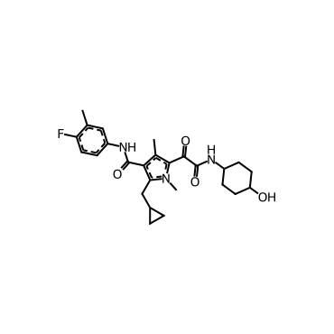 Cc1cc(NC(=O)c2c(C)c(C(=O)C(=O)NC3CCC(O)CC3)n(C)c2CC2CC2)ccc1F